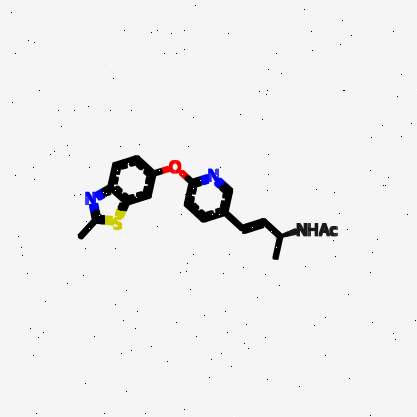 CC(=O)N[C@@H](C)/C=C/c1ccc(Oc2ccc3nc(C)sc3c2)nc1